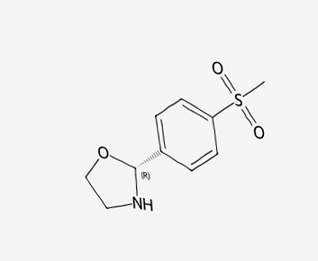 CS(=O)(=O)c1ccc([C@@H]2NCCO2)cc1